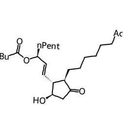 CCCCC[C@@H](/C=C/[C@H]1[C@H](O)CC(=O)[C@@H]1CCCCCCC(C)=O)OC(=O)C(C)(C)C